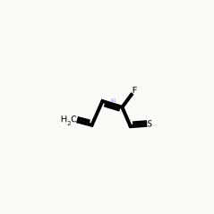 C=C/C=C(/F)C=S